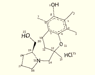 Cc1c(C)c2c(c(C)c1O)CCC(C)(CN1CCC[C@H]1CO)O2.Cl